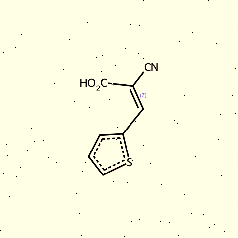 N#C/C(=C/c1cccs1)C(=O)O